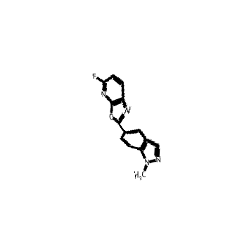 Cn1ncc2cc(-c3nc4ccc(F)nc4o3)ccc21